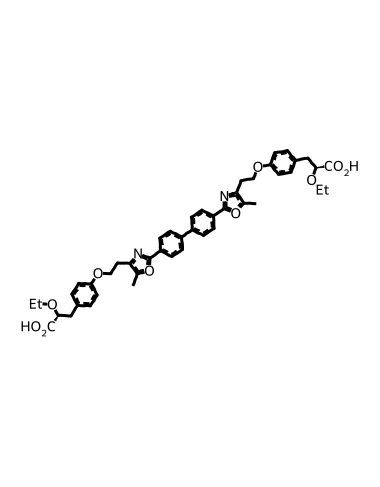 CCO[C@@H](Cc1ccc(OCCc2nc(-c3ccc(-c4ccc(-c5nc(CCOc6ccc(C[C@H](OCC)C(=O)O)cc6)c(C)o5)cc4)cc3)oc2C)cc1)C(=O)O